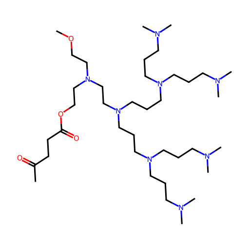 COCCN(CCOC(=O)CCC(C)=O)CCN(CCCN(CCCN(C)C)CCCN(C)C)CCCN(CCCN(C)C)CCCN(C)C